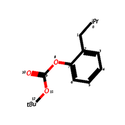 CC(C)Cc1ccccc1OC(=O)OC(C)(C)C